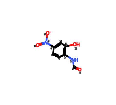 O=CNc1ccc([N+](=O)[O-])cc1O